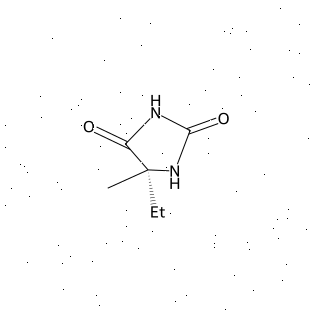 CC[C@@]1(C)NC(=O)NC1=O